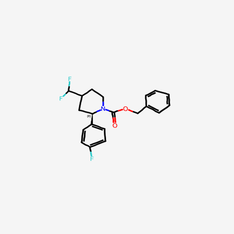 O=C(OCc1ccccc1)N1CCC(C(F)F)C[C@@H]1c1ccc(F)cc1